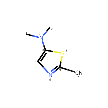 CN(C)c1cnc(C#N)s1